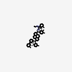 C=C/C=c1\c(=C\N(c2ccc(C)c(C)c2)c2ccc3ccc4c(N(c5cccc(C)c5)c5cccc6c5oc5c(C)cccc56)ccc5ccc2c3c54)oc2c(C)cccc12